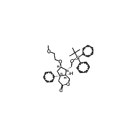 COCCO[C@@H]1C[C@]2(c3ccccc3)CC(=O)OC[C@@H]2[C@H]1CO[Si](c1ccccc1)(c1ccccc1)C(C)(C)C